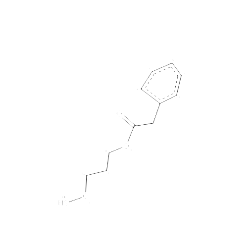 O=C(Cc1ccccc1)OCCCOS